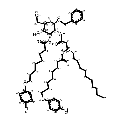 CCCCCCCCCCC[C@@H](CC(=O)N[C@H]1[C@H](OCc2ccccc2)O[C@H](CO)[C@@H](O)[C@@H]1OC(=O)CCCCCCCOc1ccc(Cl)cc1)OC(=O)CCCCCCCOc1ccc(Cl)cc1